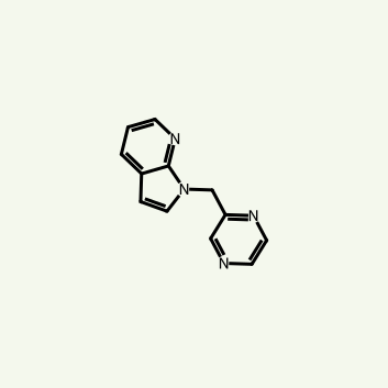 c1cnc2c(c1)ccn2Cc1cnccn1